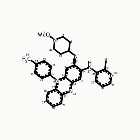 CON1CCC(/N=c2\cc3n(-c4ccc(C(F)(F)F)cc4)c4ccccc4nc-3cc2Nc2cccnc2C)CC1